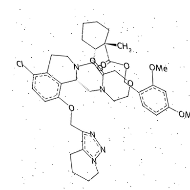 COc1ccc(COC(=O)[C@@]2(C)CCCC[C@H]2C(=O)N2CCc3c(Cl)ccc(OCc4nnn5c4CCCC5)c3[C@H]2CN2CCOCC2=O)c(OC)c1